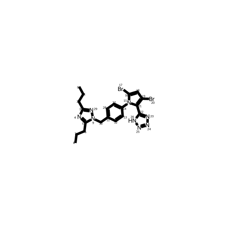 CCCc1nc(CCC)n(Cc2ccc(-n3c(Br)cc(Br)c3-c3nnn[nH]3)cc2)n1